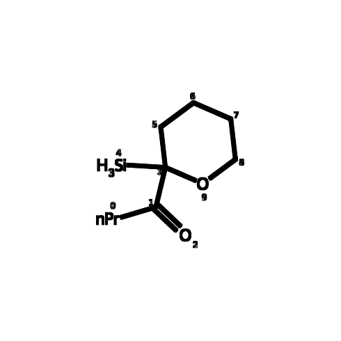 CCCC(=O)C1([SiH3])CCCCO1